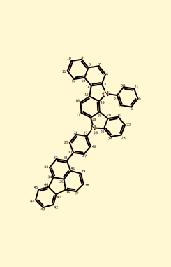 c1ccc(-n2c3ccc4ccccc4c3c3ccc4c(c5ccccc5n4-c4ccc(-c5ccc6c7c(cccc57)-c5ccccc5-6)cc4)c32)cc1